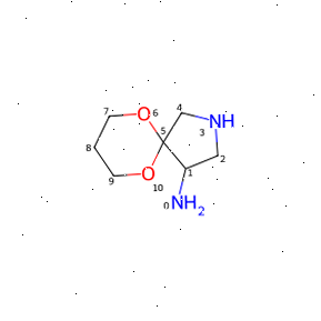 NC1CNCC12OCCCO2